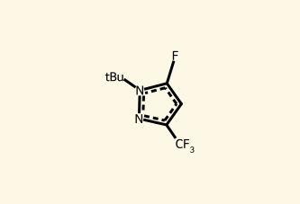 CC(C)(C)n1nc(C(F)(F)F)cc1F